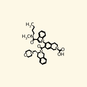 CCCCN(C)C(=O)c1cn(-c2cc3c(cc2C(=O)N2Cc4ccccc4C[C@H]2CN2CCOCC2)CN(C(=O)O)CC3)c2ccccc12